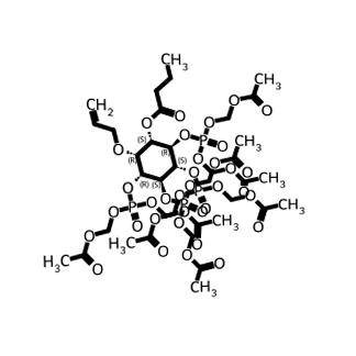 C=CCO[C@@H]1[C@H](OC(=O)CCC)[C@@H](OP(=O)(OCOC(C)=O)OCOC(C)=O)[C@H](OP(=O)(OCOC(C)=O)OCOC(C)=O)[C@@H](OP(=O)(OCOC(C)=O)OCOC(C)=O)[C@@H]1OP(=O)(OCOC(C)=O)OCOC(C)=O